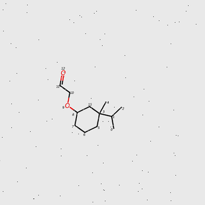 CC(C)C1(C)CCCC(OC[C]=O)C1